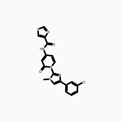 Cn1cc(-c2cccc(Cl)c2)nc1-n1ccc(NC(=O)c2cscn2)cc1=O